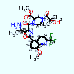 COC(=O)C1CN(C(=O)C(C)(C)O)CCN1C(=O)c1nc(-c2ccc(OC)c3nc(C(F)(F)F)ccc23)oc1[C@H](C)N